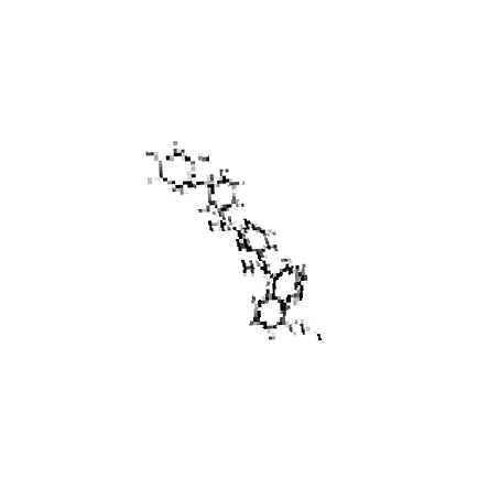 Cc1cccc2c(Nc3ccnc(Nc4cccc(N5CCCCC5)c4)n3)cnnc12